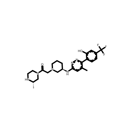 Cc1cc(N[C@@H]2CCCN(CC(=O)N3CCN[C@@H](C)C3)C2)nnc1-c1ccc(C(F)(F)F)cc1O